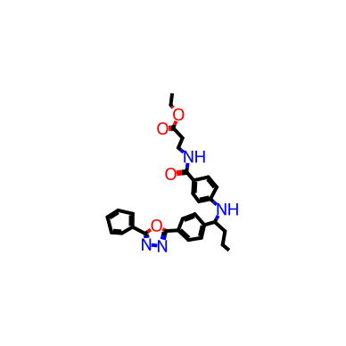 CCCC(Nc1ccc(C(=O)NCCC(=O)OCC)cc1)c1ccc(-c2nnc(-c3ccccc3)o2)cc1